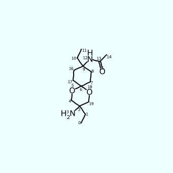 CCC1(N)COC2(CCC(CC)(NC(C)=O)CC2)OC1